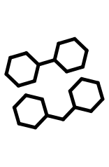 C1CCC(C2CCCCC2)CC1.C1CCC(CC2CCCCC2)CC1